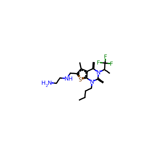 C=C1c2c(sc(CNCCN)c2C)N(CCCC)C(=C)N1C(C)C(F)(F)F